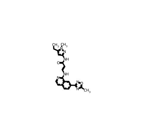 CCc1cc(NC(=O)C=CNc2nccc3ccc(-c4noc(C)n4)cc23)nn1C